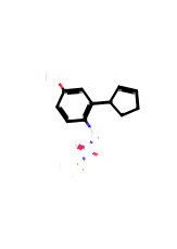 NP(=O)(O)Nc1ccc(O)cc1C1C=CCC1